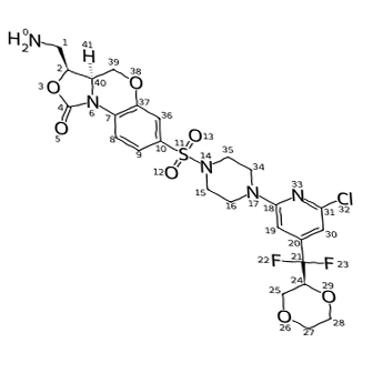 NC[C@@H]1OC(=O)N2c3ccc(S(=O)(=O)N4CCN(c5cc(C(F)(F)[C@@H]6COCCO6)cc(Cl)n5)CC4)cc3OC[C@H]12